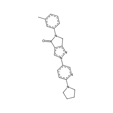 Cc1cccc(N2Cc3nn(-c4ccc(N5CCCC5)nc4)cc3C2=O)c1